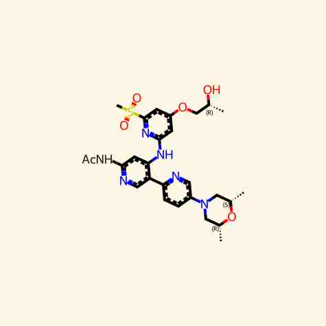 CC(=O)Nc1cc(Nc2cc(OC[C@@H](C)O)cc(S(C)(=O)=O)n2)c(-c2ccc(N3C[C@@H](C)O[C@@H](C)C3)cn2)cn1